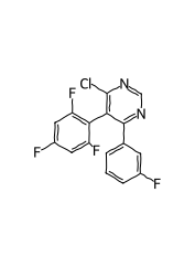 Fc1cccc(-c2ncnc(Cl)c2-c2c(F)cc(F)cc2F)c1